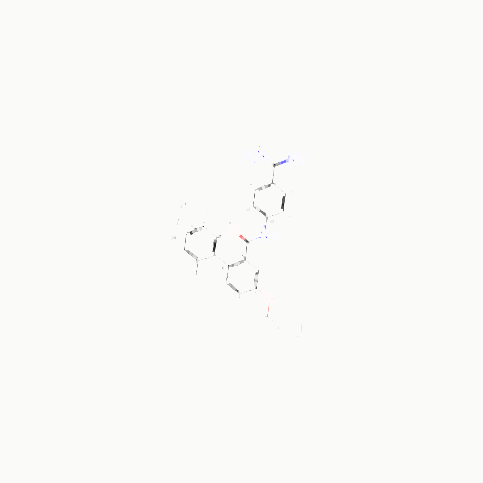 CCOC(=O)COc1ccc(-c2ccccc2C(=O)O)c(C(=O)Nc2ccc(C(=N)N)cc2)c1.CS(=O)(=O)O